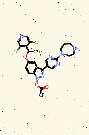 C[C@@H](Oc1ccc2c(c1)c(-c1cnc(N3CCCNCC3)nc1)nn2OC(=O)C(F)(F)F)c1c(Cl)cncc1Cl